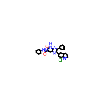 O=C(Nc1ccccc1)c1cc2nc(-c3cc(Cl)c4ncccc4c3)c(-c3ccccc3)nc2[nH]c1=O